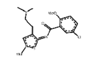 COc1ccc(Cl)cc1C(=O)N=c1sn(C(C)(C)C)cc1CCN(C)C